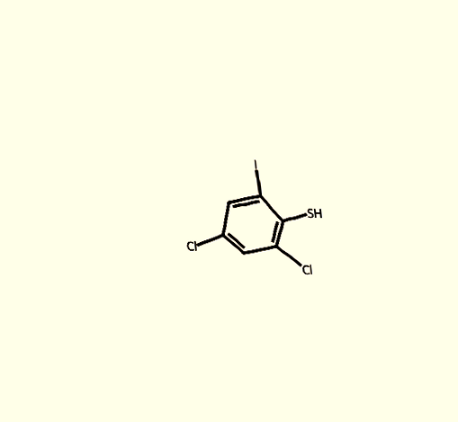 Sc1c(Cl)cc(Cl)cc1I